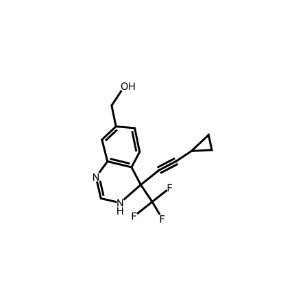 OCc1ccc2c(c1)N=CNC2(C#CC1CC1)C(F)(F)F